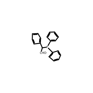 O=[C][C](c1ccccc1)P(c1ccccc1)c1ccccc1